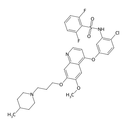 COc1cc2c(Oc3ccc(Cl)c(NS(=O)(=O)c4c(F)cccc4F)c3)ccnc2cc1OCCCN1CCC(C)CC1